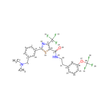 CN(C)Cc1cccc(-c2nc(C(F)(F)F)c(C(=O)NCCc3cccc(OC(F)(F)F)c3)s2)c1